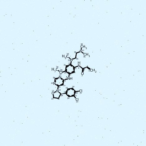 C=CC(=O)Nc1cc(Nc2cc(N3OCC[C@@H]3c3ccc(Cl)c(Cl)c3)ncn2)c(OC)cc1N(C)CCN(C)C